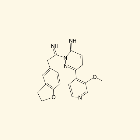 COc1cnccc1-c1ccc(=N)n(C(=N)Cc2ccc3c(c2)CCO3)n1